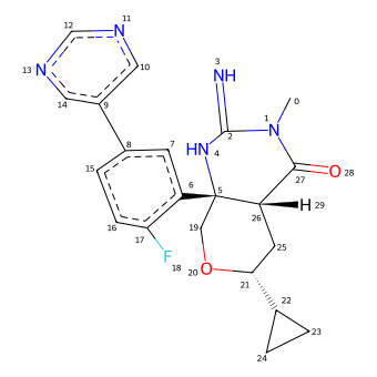 CN1C(=N)N[C@@]2(c3cc(-c4cncnc4)ccc3F)CO[C@@H](C3CC3)C[C@H]2C1=O